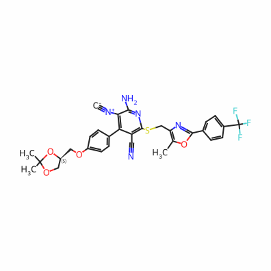 [C-]#[N+]c1c(N)nc(SCc2nc(-c3ccc(C(F)(F)F)cc3)oc2C)c(C#N)c1-c1ccc(OC[C@H]2COC(C)(C)O2)cc1